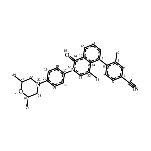 Cc1cc(C#N)ccc1-c1cccc2c(=O)n(-c3ccc(N4CC(C)O[C@H](C)C4)cc3)cc(C)c12